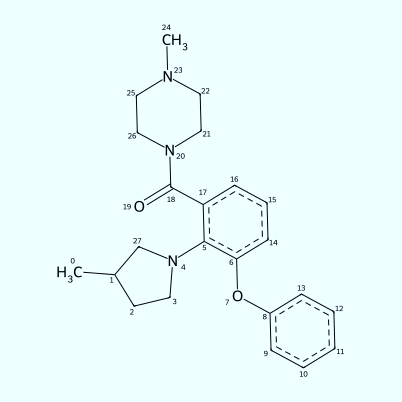 CC1CCN(c2c(Oc3ccccc3)cccc2C(=O)N2CCN(C)CC2)C1